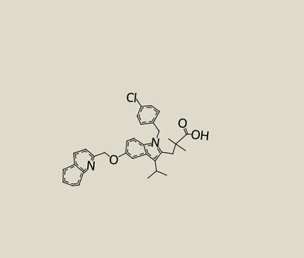 CC(C)c1c(CC(C)(C)C(=O)O)n(Cc2ccc(Cl)cc2)c2ccc(OCc3ccc4ccccc4n3)cc12